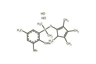 COc1c(C(C)(C)C)cc(C)cc1[Si](C)(C)[Ti][C]1=C(C)C(C)=C(C)C1C.Cl.Cl